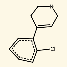 Clc1ccccc1C1=CC[N]CC1